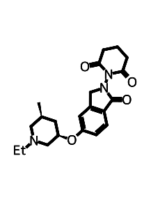 CCN1C[C@@H](C)C[C@@H](Oc2ccc3c(c2)CN(N2C(=O)CCCC2=O)C3=O)C1